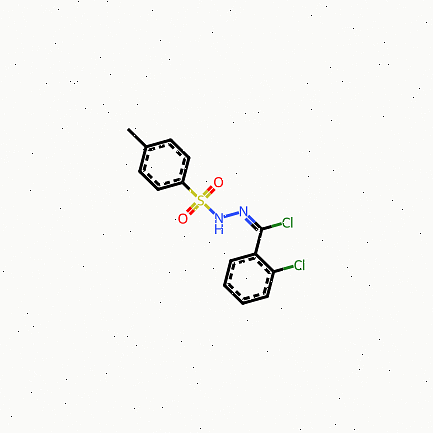 Cc1ccc(S(=O)(=O)N/N=C(/Cl)c2ccccc2Cl)cc1